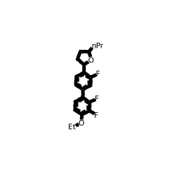 CCCC1CCC(c2ccc(-c3ccc(OCC)c(F)c3F)cc2F)O1